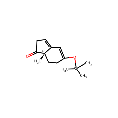 C[C@]12CCC(O[Si](C)(C)C)=CC1=CCC2=O